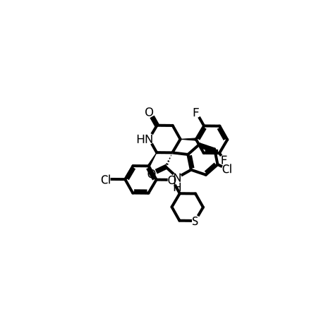 O=C1C[C@@H](c2cc(F)ccc2F)[C@]2(C(=O)Nc3cc(Cl)ccc32)[C@@H](c2cc(Cl)ccc2OC2CCSCC2)N1